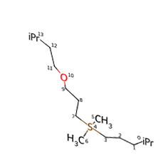 CC(C)CCCS(C)(C)CCCOCCC(C)C